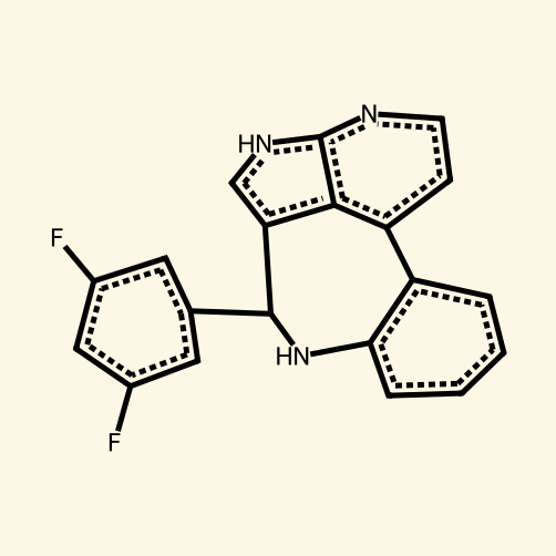 Fc1cc(F)cc(C2Nc3ccccc3-c3ccnc4[nH]cc2c34)c1